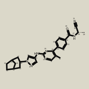 Cc1cnc(Nc2cnn(C3CC4CCC(C4)C3)c2)nc1-c1ccc(C(=O)N[C@@H](C)C#N)cc1